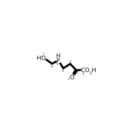 O=C(O)C(=O)CCPCO